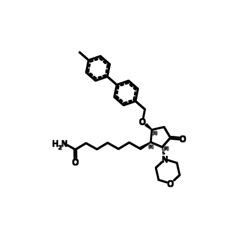 Cc1ccc(-c2ccc(CO[C@H]3CC(=O)[C@H](N4CCOCC4)[C@H]3CCCCCCC(N)=O)cc2)cc1